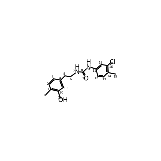 Cc1ccc(CCNC(=O)Nc2ccc(C)c(Cl)c2)cc1O